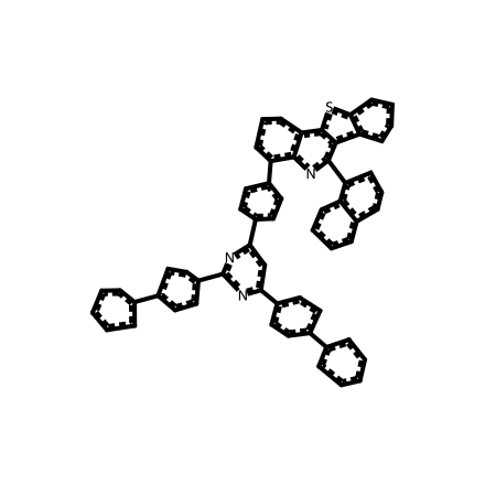 c1ccc(-c2ccc(-c3cc(-c4ccc(-c5cccc6c5nc(-c5cccc7ccccc57)c5c7ccccc7sc65)cc4)nc(-c4ccc(-c5ccccc5)cc4)n3)cc2)cc1